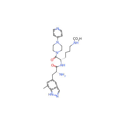 Cc1cc(C[C@@H](N)C(=O)N[C@@H](CCCCNC(=O)O)C(=O)N2CCN(c3ccncc3)CC2)cc2cn[nH]c12